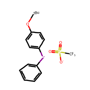 CC(C)(C)Oc1ccc([I+]c2ccccc2)cc1.O=S(=O)([O-])C(F)(F)F